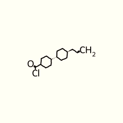 C=CC[C@H]1CC[C@H](C2CCC(C(=O)Cl)CC2)CC1